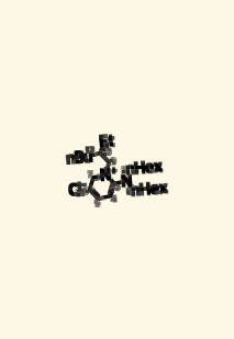 CCCCCCN(CCCCCC)c1cccc[n+]1CC(CC)CCCC.[Cl-]